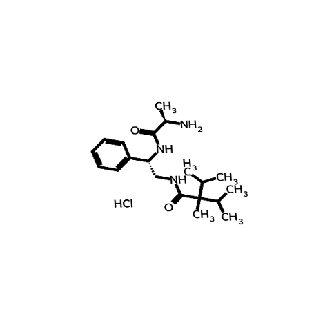 CC(C)C(C)(C(=O)NC[C@@H](NC(=O)[C@@H](C)N)c1ccccc1)C(C)C.Cl